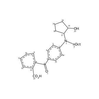 CCCCCCCCN(c1ccc(C(=O)c2ccccc2C(=O)O)cc1)C1CCCC1O